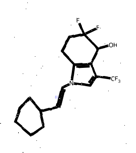 OC1c2c(C(F)(F)F)cn(/C=C/C3CCCCC3)c2CCC1(F)F